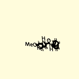 COc1cc2[nH]c(C(=O)NC34CC5CC(CC(C5)C3)C4)cc2cn1